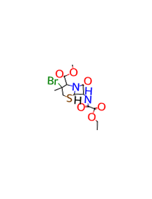 CCOC(=O)C(=O)NC1C(=O)N2C(C(=O)OC)C(C)(Br)CS[C@H]12